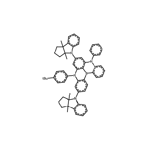 CC(C)(C)c1ccc(N2c3cc(N4c5ccccc5C5(C)CCCC45C)ccc3B3c4ccccc4N(c4ccccc4)c4cc(N5c6ccccc6C6(C)CCCC56C)cc2c43)cc1